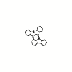 c1ccc2c(c1)B1c3c-2cccc3-n2c3ccccc3n3c4ccccc4c1c23